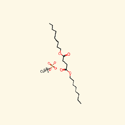 CCCCCCCCOC(=O)CCC(=O)OCCCCCCCC.O=S(=O)([O-])[O-].[Cu+].[Na+].[SiH4]